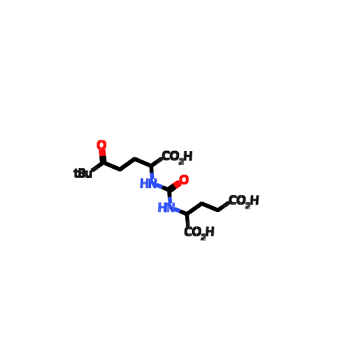 CC(C)(C)C(=O)CCC(NC(=O)NC(CCC(=O)O)C(=O)O)C(=O)O